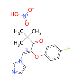 CC(C)(C)C(=O)/C(=C/n1ccnc1)Oc1ccc(F)cc1.O=[N+]([O-])O